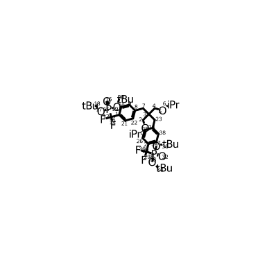 CC(C)OCC(COC(C)C)(Cc1ccc(C(F)(F)P(=O)(OC(C)(C)C)OC(C)(C)C)cc1)Cc1ccc(C(F)(F)P(=O)(OC(C)(C)C)OC(C)(C)C)cc1